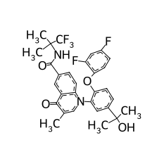 Cc1cn(-c2cc(C(C)(C)O)ccc2Oc2ccc(F)cc2F)c2ccc(C(=O)NC(C)(C)C(F)(F)F)cc2c1=O